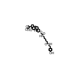 CC12CCC(OCC(=O)NCCCCCC(=O)NCCc3ccc(O)cc3)CC1CCC1(C)[C@@H]2CC(O)C2(C)C(C3=CC(=O)OC3)CCC21O